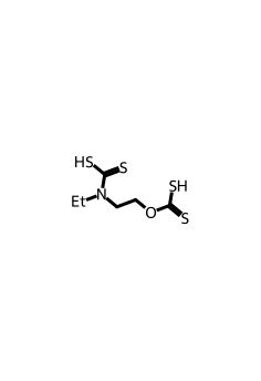 CCN(CCOC(=S)S)C(=S)S